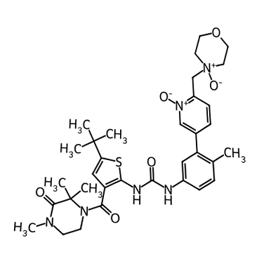 Cc1ccc(NC(=O)Nc2sc(C(C)(C)C)cc2C(=O)N2CCN(C)C(=O)C2(C)C)cc1-c1ccc(C[N+]2([O-])CCOCC2)[n+]([O-])c1